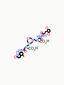 Cc1cc(NC(=O)CN(CCN2CCOCCN(CCN(CC(=O)O)CC(=O)NNC(=O)CCC3C(=O)C=CC3=O)CC2)CC(=O)O)cc2[nH]c(=O)ccc12